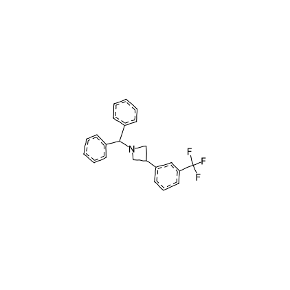 FC(F)(F)c1cccc(C2CN(C(c3ccccc3)c3ccccc3)C2)c1